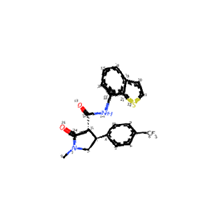 CN1C[C@H](c2ccc(C(F)(F)F)cc2)[C@@H](C(=O)Nc2cccc3ccsc23)C1=O